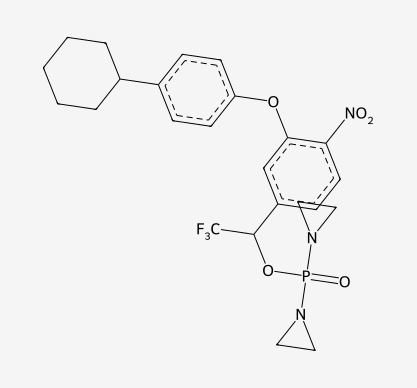 O=[N+]([O-])c1ccc(C(OP(=O)(N2CC2)N2CC2)C(F)(F)F)cc1Oc1ccc(C2CCCCC2)cc1